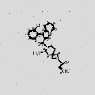 C=CC(=O)N1CC2(CCN(C(=O)c3nn4ccccc4c3-c3ccccc3Cl)[C@H](C)C2)C1